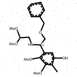 COc1c([C@H](COCc2ccccc2)NCC(OC)OC)cc(O)c(C)c1OC